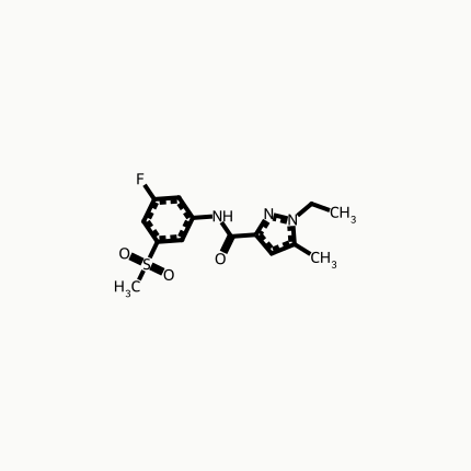 CCn1nc(C(=O)Nc2cc(F)cc(S(C)(=O)=O)c2)cc1C